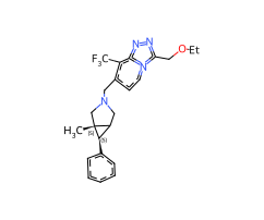 CCOCc1nnc2c(C(F)(F)F)c(CN3CC4[C@@H](c5ccccc5)[C@]4(C)C3)ccn12